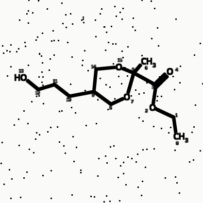 CCOC(=O)C1(C)OCC(CCCO)CO1